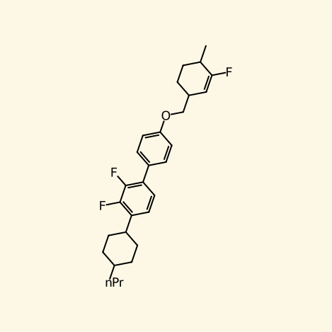 CCCC1CCC(c2ccc(-c3ccc(OCC4C=C(F)C(C)CC4)cc3)c(F)c2F)CC1